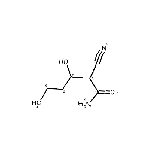 N#CC(C(N)=O)C(O)CCO